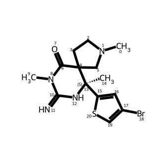 CN1CCC2(C1)C(=O)N(C)C(=N)N[C@]2(C)c1cc(Br)cs1